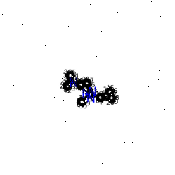 c1ccc(-c2nc(-c3ccc4c(c3)-c3cccc5cccc-4c35)nc(-c3cccc4cc(-n5c6ccccc6c6ccccc65)ccc34)n2)cc1